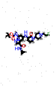 CN(C(=O)OC(C)(C)C)c1cc(Nc2cccn(C3CCN(CCF)CC3)c2=O)cc2c(C(=O)NC3CC3)cnn12